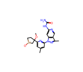 COC1(c2cc(C)cc(-n3nc(C)c4cnc(NC(N)=O)cc43)n2)CC[S+]([O-])C1